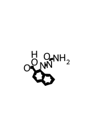 NC(=O)N=Nc1c(C(=O)O)ccc2ccccc12